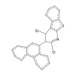 CCC1c2c(sc3ccccc23)N=C(Cl)C1c1cc2ccccc2c2ccccc12